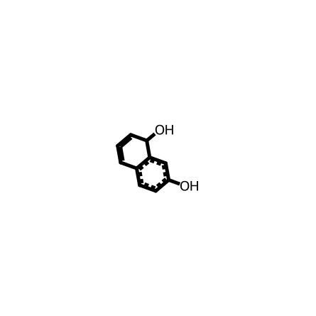 Oc1ccc2c(c1)C(O)C=C=C2